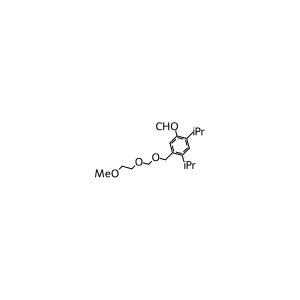 COCCOCOCc1cc(C=O)c(C(C)C)cc1C(C)C